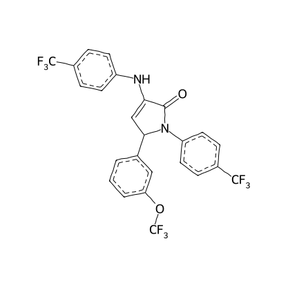 O=C1C(Nc2ccc(C(F)(F)F)cc2)=CC(c2cccc(OC(F)(F)F)c2)N1c1ccc(C(F)(F)F)cc1